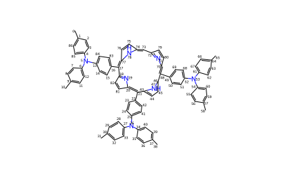 Cc1ccc(N(c2ccc(C)cc2)c2ccc(-c3c4nc(c(-c5ccc(N(c6ccc(C)cc6)c6ccc(C)cc6)cc5)c5ccc([nH]5)c(-c5ccc(N(c6ccc(C)cc6)c6ccc(C)cc6)cc5)c5nc(cc6ccc3[nH]6)C=C5)C=C4)cc2)cc1